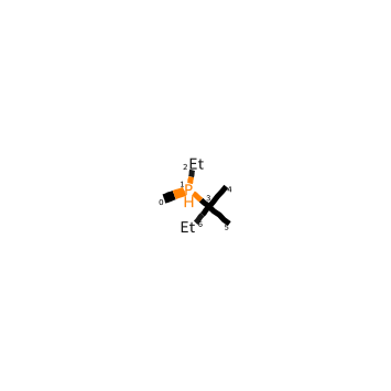 C=[PH](CC)C(C)(C)CC